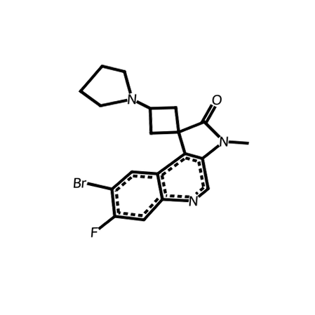 CN1C(=O)C2(CC(N3CCCC3)C2)c2c1cnc1cc(F)c(Br)cc21